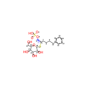 O=S(=O)(O)O/N=C(\CCCCc1ccccc1)SC1OC(CO)C(O)C(O)C1O